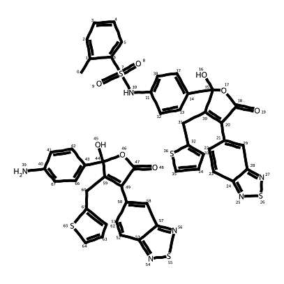 Cc1ccccc1S(=O)(=O)Nc1ccc(C2(O)OC(=O)C(c3ccc4nsnc4c3)=C2Cc2cccs2)cc1.Nc1ccc(C2(O)OC(=O)C(c3ccc4nsnc4c3)=C2Cc2cccs2)cc1